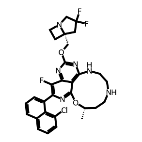 C[C@H]1CCNCCNc2nc(OC[C@]34CCN3CC(F)(F)C4)nc3c(F)c(-c4cccc5cccc(Cl)c45)nc(c23)O1